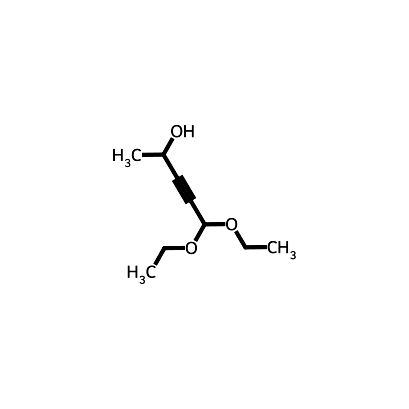 CCOC(C#CC(C)O)OCC